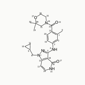 Cc1cc(Nc2nn(CC3CC3)c3cc[nH]c(=O)c23)ccc1C(=O)N1CCOC(C)(C)C1